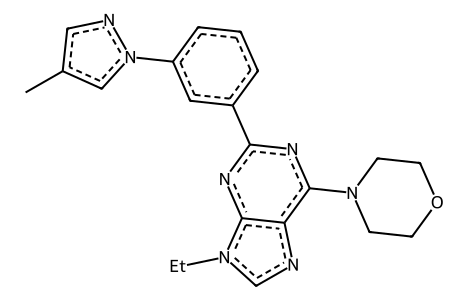 CCn1cnc2c(N3CCOCC3)nc(-c3cccc(-n4cc(C)cn4)c3)nc21